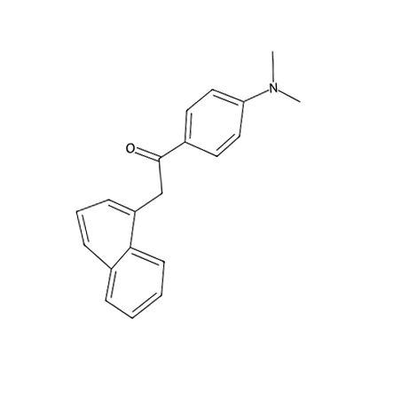 CN(C)c1ccc(C(=O)Cc2cccc3ccccc23)cc1